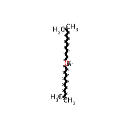 CC(C)CCCCCCCCCCOCCCCCCCCCCC(C)C.[K]